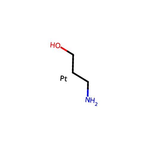 NCCCO.[Pt]